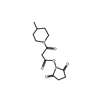 CC1CCN(C(=O)CC(=O)ON2C(=O)CCC2=O)CC1